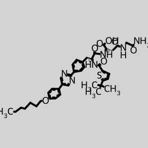 CCCCCCCOc1ccc(-c2cnc(-c3ccc(C[C@H](NC(=O)c4ccc(C(C)(C)C)s4)C(=O)N[C@@H](CC(=O)NCC(N)=O)C(=O)O)cc3)nc2)cc1